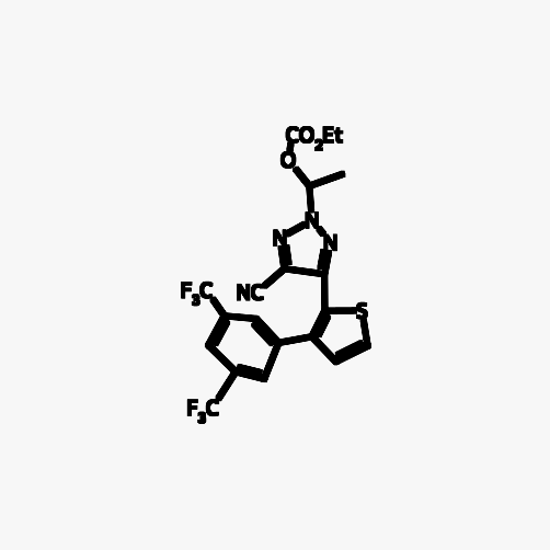 CCOC(=O)OC(C)n1nc(C#N)c(-c2sccc2-c2cc(C(F)(F)F)cc(C(F)(F)F)c2)n1